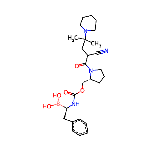 CC(C)(CC(C#N)C(=O)N1CCC[C@@H]1COC(=O)N[C@@H](Cc1ccccc1)B(O)O)N1CCCCC1